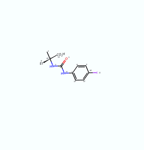 CC[C@](C)(NC(=O)Nc1ccc(I)cc1)C(=O)O